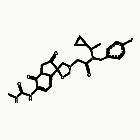 CNC(=O)NC1=CC=C2C(CC(=O)C23CN(CC(=O)N(Cc2ccc(F)cc2)C(C)C2CC2)CO3)C1=O